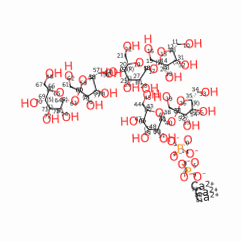 O=P([O-])([O-])[O-].O=P([O-])([O-])[O-].OC[C@H]1O[C@@](CO)(O[C@H]2O[C@H](CO)[C@@H](O)[C@H](O)[C@H]2O)[C@@H](O)[C@@H]1O.OC[C@H]1O[C@@](CO)(O[C@H]2O[C@H](CO)[C@@H](O)[C@H](O)[C@H]2O)[C@@H](O)[C@@H]1O.OC[C@H]1O[C@@](CO)(O[C@H]2O[C@H](CO)[C@@H](O)[C@H](O)[C@H]2O)[C@@H](O)[C@@H]1O.[Ca+2].[Ca+2].[Ca+2]